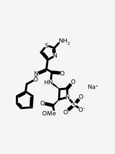 COC(=O)[C@H]1[C@@H](NC(=O)C(=NOCc2ccccc2)c2csc(N)n2)C(=O)N1S(=O)(=O)[O-].[Na+]